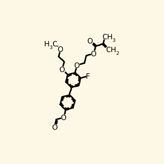 C=C(C)C(=O)OCCOc1c(F)cc(-c2ccc(OC=O)cc2)cc1OCCOC